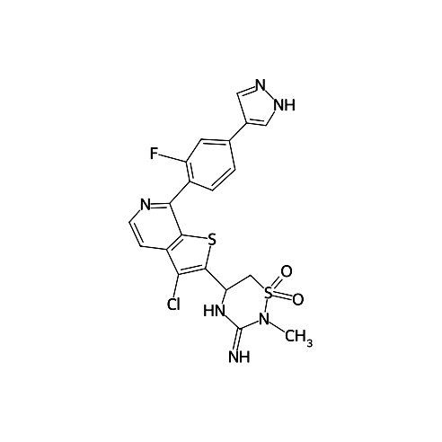 CN1C(=N)NC(c2sc3c(-c4ccc(-c5cn[nH]c5)cc4F)nccc3c2Cl)CS1(=O)=O